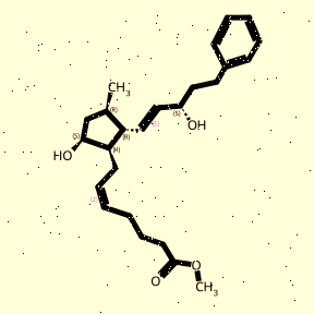 COC(=O)CCC/C=C\C[C@@H]1[C@@H](/C=C/[C@@H](O)CCc2ccccc2)[C@H](C)C[C@@H]1O